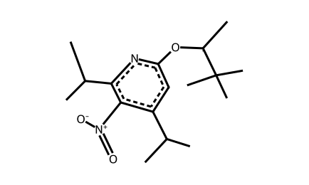 C[C](Oc1cc(C(C)C)c([N+](=O)[O-])c(C(C)C)n1)C(C)(C)C